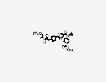 COCC(C)NC(=O)Cc1ccc(-c2ncc(C(=O)N(C3CC3)C3CCN(C(=O)OC(C)(C)C)CC3)cn2)cc1